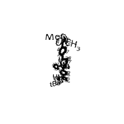 CON(C)C(=O)c1ccc(C2=NN3C(=NC(c4ccc(C5(NC(=O)OC(C)(C)C)CCC5)cc4)C3c3ccccc3)C=C2)cc1